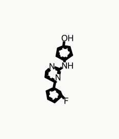 Oc1ccc(Nc2nccc(-c3cccc(F)c3)n2)cc1